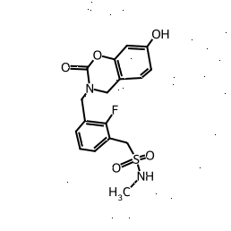 CNS(=O)(=O)Cc1cccc(CN2Cc3ccc(O)cc3OC2=O)c1F